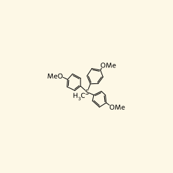 COc1ccc(S(C)(c2ccc(OC)cc2)c2ccc(OC)cc2)cc1